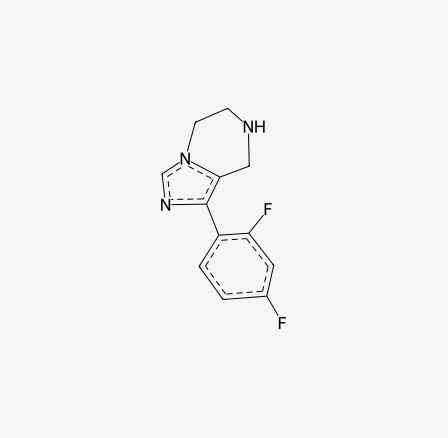 Fc1ccc(-c2ncn3c2CNCC3)c(F)c1